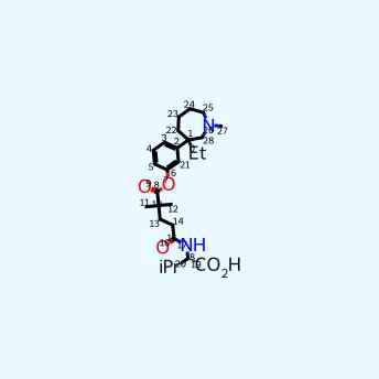 CCC1(c2cccc(OC(=O)C(C)(C)CCC(=O)N[C@H](C(=O)O)C(C)C)c2)CCCCN(C)C1